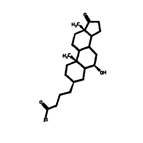 CCC(=O)CCC[C@H]1CC[C@]2(C)C3CC[C@]4(C)C(=O)CCC4C3C[C@@H](O)C2C1